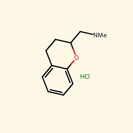 CNCC1CCc2ccccc2O1.Cl